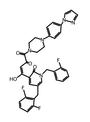 O=C(/C=C(/O)c1cc(Cc2c(F)cccc2F)cn(Cc2ccccc2F)c1=O)C(=O)N1CCN(c2ccc(-n3cccn3)cc2)CC1